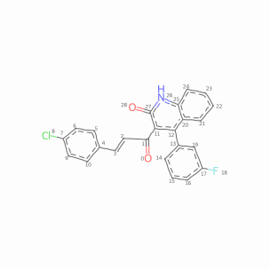 O=C(/C=C/c1ccc(Cl)cc1)c1c(-c2cccc(F)c2)c2ccccc2[nH]c1=O